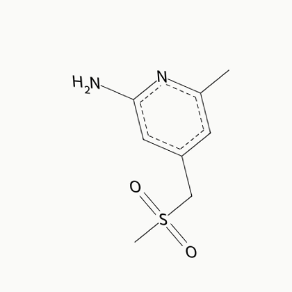 Cc1cc(CS(C)(=O)=O)cc(N)n1